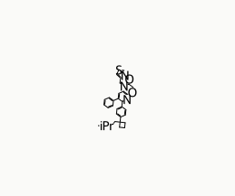 C[C](C)CC1(c2ccc(-c3nc4c(cc3-c3ccccc3)N(Cc3cscn3)C(=O)CO4)cc2)CCC1